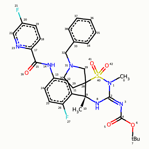 CN1/C(=N/C(=O)OC(C)(C)C)N[C@](C)(c2cc(NC(=O)c3ccc(F)cn3)ccc2F)C2(CCN(Cc3ccccc3)C2)S1(=O)=O